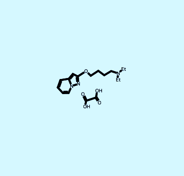 CCN(CC)CCCCOc1cc2ccccn2n1.O=C(O)C(=O)O